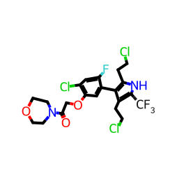 O=C(COc1cc(-c2c(CCCl)[nH]c(C(F)(F)F)c2CCCl)c(F)cc1Cl)N1CCOCC1